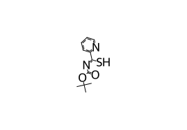 CC(C)(C)OC(=O)N=C(S)c1ccccn1